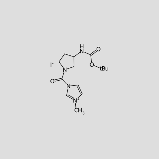 C[n+]1ccn(C(=O)N2CCC(NC(=O)OC(C)(C)C)C2)c1.[I-]